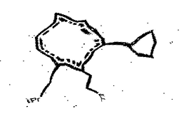 [CH2]C(C)c1cccc(C2CC2)c1F